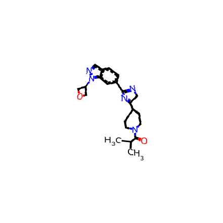 CC(C)C(=O)N1CCC(C2=NC(c3ccc4cnn(C5COC5)c4c3)=NC2)CC1